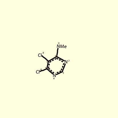 CNc1ncnc(Cl)c1Cl